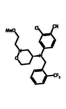 COCCN1C[C@@H](N(Cc2ccccc2C(F)(F)F)c2ccc(C#N)c(Cl)c2)CCO1